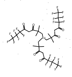 CC(C)([CH2][Eu]([CH2]C(C)(C)C(=O)CC(=O)C(F)(F)C(F)(F)C(F)(F)F)[CH2]C(C)(C)C(=O)CC(=O)C(F)(F)C(F)(F)C(F)(F)F)C(=O)CC(=O)C(F)(F)C(F)(F)C(F)(F)F